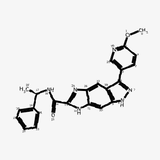 COc1ccc(-c2n[nH]c3cc4[nH]c(C(=O)N[C@H](C)c5ccccc5)nc4cc23)cn1